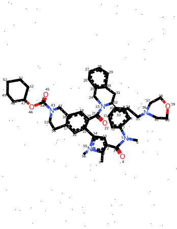 Cc1c(C(=O)N(C)c2ccccc2)cc(-c2cc3c(cc2C(=O)N2Cc4ccccc4C[C@H]2CCCN2CCOCC2)CN(C(=O)OC2CCCCC2)CC3)n1C